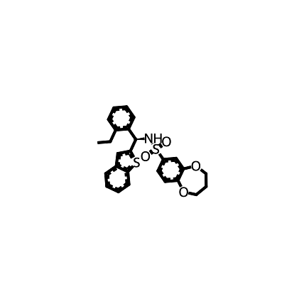 CCc1ccccc1[C@@H](NS(=O)(=O)c1ccc2c(c1)OCCCO2)c1cc2ccccc2s1